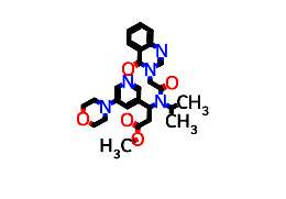 COC(=O)CC(c1cncc(N2CCOCC2)c1)N(C(=O)Cn1cnc2ccccc2c1=O)C(C)C